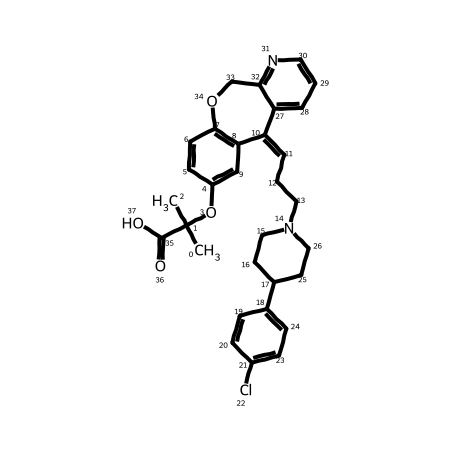 CC(C)(Oc1ccc2c(c1)C(=CCCN1CCC(c3ccc(Cl)cc3)CC1)c1cccnc1CO2)C(=O)O